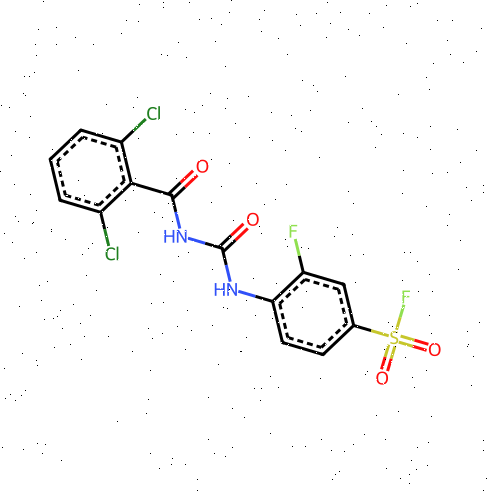 O=C(NC(=O)c1c(Cl)cccc1Cl)Nc1ccc(S(=O)(=O)F)cc1F